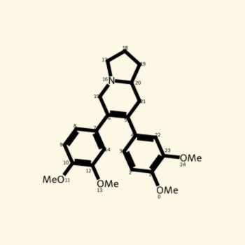 COc1ccc(C2=C(c3ccc(OC)c(OC)c3)CN3CCCC3C2)cc1OC